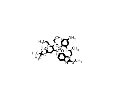 CCOC(OCC)C(CC(=O)OC(C)(C)C)NS(=O)(=O)c1ccc(N)cc1O[C@H](C)Cn1c(SC)nc2ccccc21